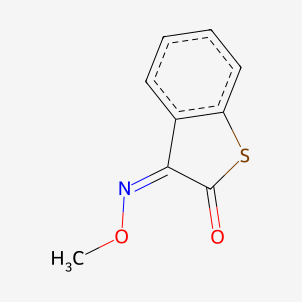 CO/N=C1\C(=O)Sc2ccccc21